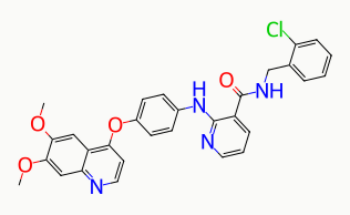 COc1cc2nccc(Oc3ccc(Nc4ncccc4C(=O)NCc4ccccc4Cl)cc3)c2cc1OC